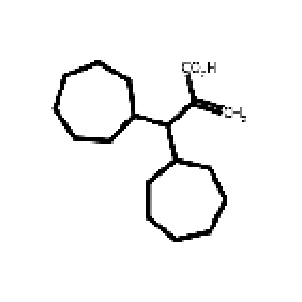 C=C(C(=O)O)C(C1CCCCCC1)C1CCCCCC1